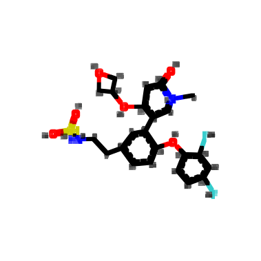 Cn1cc(-c2cc(CCN[SH](=O)=O)ccc2Oc2ccc(F)cc2F)c(OC2COC2)cc1=O